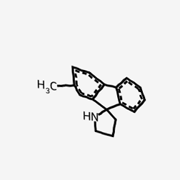 Cc1ccc2c(c1)C1(CCCN1)c1ccccc1-2